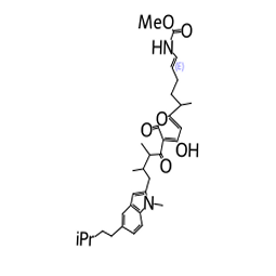 COC(=O)N/C=C/CCC(C)c1cc(O)c(C(=O)C(C)C(C)Cc2cc3cc(CCC(C)C)ccc3n2C)c(=O)o1